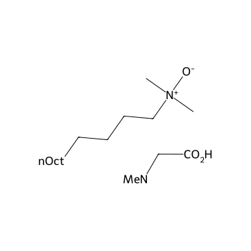 CCCCCCCCCCCC[N+](C)(C)[O-].CNCC(=O)O